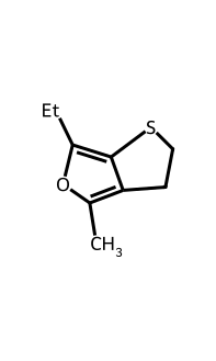 CCc1oc(C)c2c1SCC2